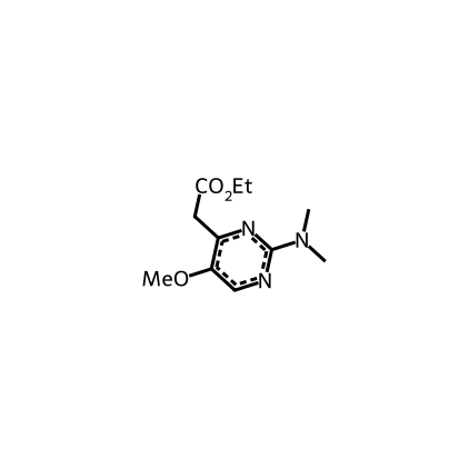 CCOC(=O)Cc1nc(N(C)C)ncc1OC